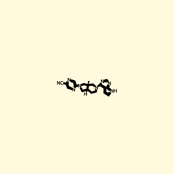 C[C@]12CN(c3cnc(C#N)cn3)C[C@H]1CCN(c1ncnc3[nH]ccc13)C2